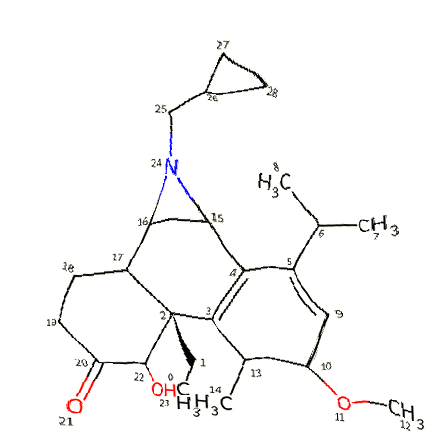 CC[C@]12C3=C(C(C(C)C)=CC(OC)C3C)C3C(C1CCC(=O)C2O)N3CC1CC1